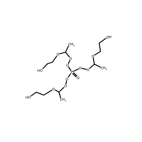 CC(OCCO)OOP(=O)(OOC(C)OCCO)OOC(C)OCCO